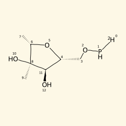 [2H]POC[C@H]1O[C@@H](C)[C@](C)(O)[C@@H]1O